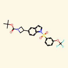 CC(C)(C)OC(=O)N1CC(c2ccc3c(ccn3S(=O)(=O)c3cccc(OC(F)(F)F)c3)c2)C1